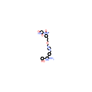 Cn1c(=O)n(C2CCC(=O)NC2=O)c2ccc(CCCOCCN3CCN(Cc4ccc(-c5cc(-c6ccccc6O)nnc5N)cc4)CC3)cc21